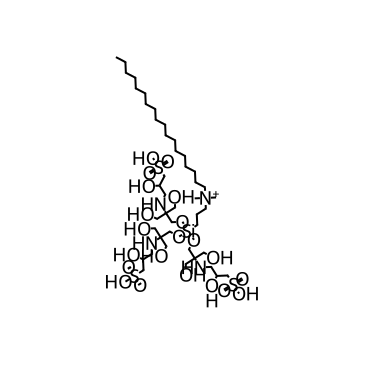 CCCCCCCCCCCCCCCCCC[N+](C)(C)CCC[Si](OCC(CO)(CO)NCC(O)CS(=O)(=O)O)(OCC(CO)(CO)NCC(O)CS(=O)(=O)O)OCC(CO)(CO)NCC(O)CS(=O)(=O)O